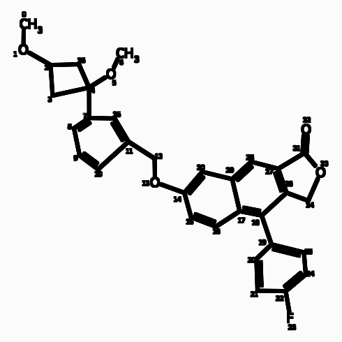 COC1CC(OC)(c2cccc(COc3ccc4c(-c5ccc(F)cc5)c5c(cc4c3)C(=O)OC5)c2)C1